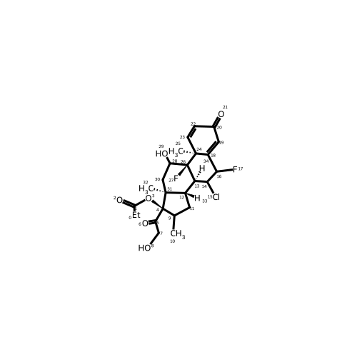 CCC(=O)O[C@]1(C(=O)CO)C(C)C[C@H]2[C@@H]3C(Cl)C(F)C4=CC(=O)C=C[C@]4(C)[C@@]3(F)C(O)C[C@@]21C